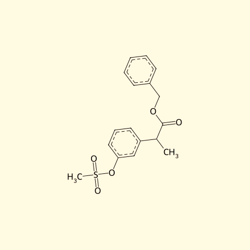 CC(C(=O)OCc1ccccc1)c1cccc(OS(C)(=O)=O)c1